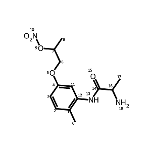 Cc1ccc(OCC(C)O[N+](=O)[O-])cc1NC(=O)C(C)N